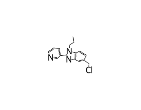 CCCn1c(-c2cccnc2)nc2cc(CCl)ccc21